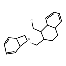 ClCC1C(C[C@H]2CC3C=CC=CC32)CCC2C=CC=CC21